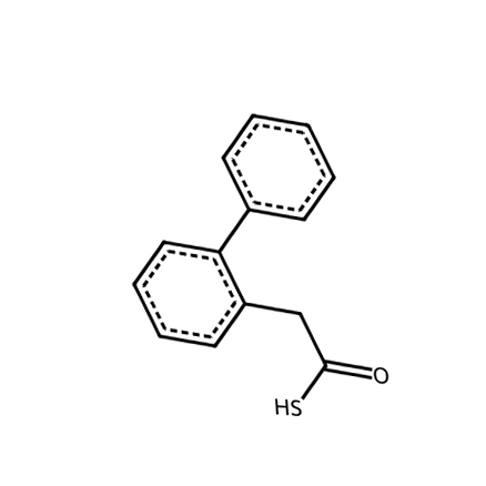 O=C(S)Cc1ccccc1-c1ccccc1